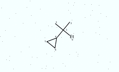 CCC(C)(C)C1[CH]C1